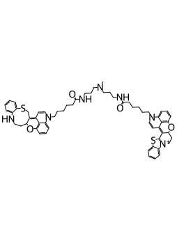 CN(CCCNC(=O)CCCCCN1C=CC2=C3CSc4ccccc4NCCC3Oc3cccc1c32)CCCNC(=O)CCCCCN1C=CC2=C3c4sc5ccccc5[n+]4CCC3Oc3cccc1c32